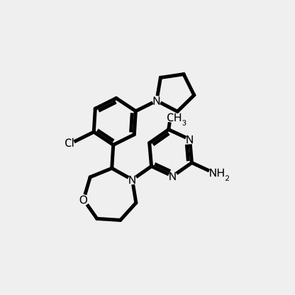 Cc1cc(N2CCCOCC2c2cc(N3CCCC3)ccc2Cl)nc(N)n1